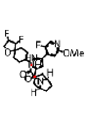 COc1cc(-c2cc(C(=O)N3[C@@H]4CC[C@H]3CC(C(=O)NC3CCC5(CC3)OCC(F)C5F)C4)n[nH]2)c(F)cn1